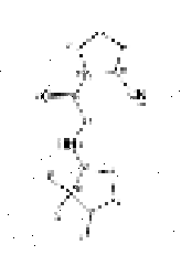 CC1CCC(NCC(=O)N2CCCC2C#N)C1(C)C